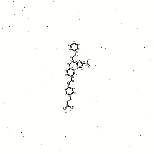 COC(=O)CCc1ccc(OCc2ccc(CN(CCc3ccccc3)c3nc(C(C)C)cs3)cc2)cc1